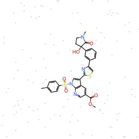 COC(=O)c1cnc2c(c1)c(-c1nc(-c3cccc([C@]4(O)CCN(C)C4=O)c3)cs1)cn2S(=O)(=O)c1ccc(C)cc1